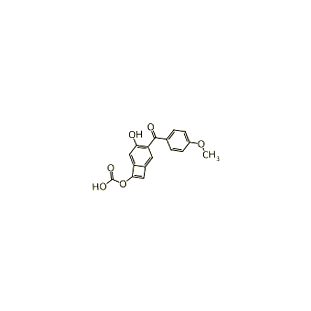 COc1ccc(C(=O)c2cc3c(cc2O)C(OC(=O)O)=C3)cc1